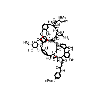 CCCCCc1ccc(NC(=O)CNC(=O)C2NC(=O)[C@H]3NC(=O)[C@H](NC(=O)C4NC(=O)[C@H](CC(N)=O)NC(=O)[C@H](NC(=O)[C@@H](CC(C)C)NC)[C@H](O)c5ccc(c(Cl)c5)Oc5cc4cc(c5O[C@@H]4O[C@H](CO)[C@@H](O)[C@H](O)[C@H]4OC4C[C@](C)(N)[C@H](O)[C@H](C)O4)Oc4ccc(cc4Cl)[C@H]3O)c3ccc(O)c(c3)-c3c(O)cc(O)cc32)cc1